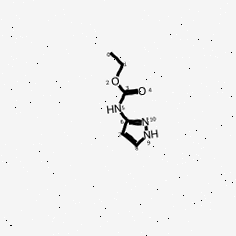 CCOC(=O)Nc1cc[nH]n1